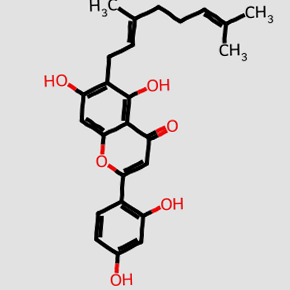 CC(C)=CCC/C(C)=C/Cc1c(O)cc2oc(-c3ccc(O)cc3O)cc(=O)c2c1O